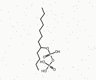 CCCCCCCC(CCCC)OP(=O)(O)OP(=O)(O)O